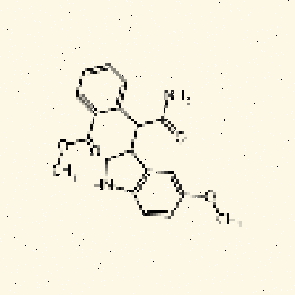 COC(=O)c1ccccc1C(C(N)=O)C1CNc2ccc(OC)cc21